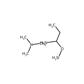 CN(C)C.[CH2]CC([SiH3])O[SiH3]